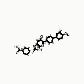 COc1ccc(-c2ccc(-c3nc4[nH]c(O[C@H]5CC[C@H](C(=O)O)CC5)nc4cc3Cl)cc2)cc1F